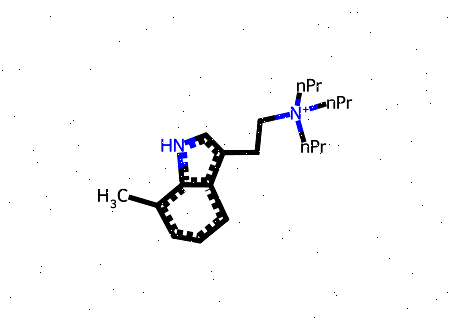 CCC[N+](CCC)(CCC)CCc1c[nH]c2c(C)cccc12